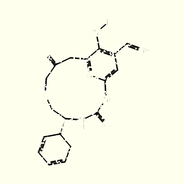 C=C1COC[C@H](C2C=CC=CC2)NC(=O)Nc2cc(C=N)c(NCC)c(n2)C1